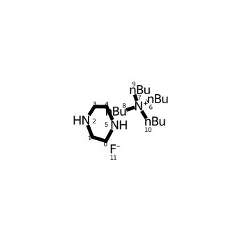 C1CNCCN1.CCCC[N+](CCCC)(CCCC)CCCC.[F-]